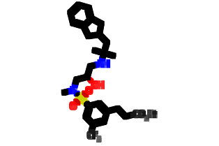 CCOC(=O)CCc1cc(C(F)(F)F)cc(S(=O)(=O)N(C)C[C@H](O)CNC(C)(C)CC2Cc3ccccc3C2)c1